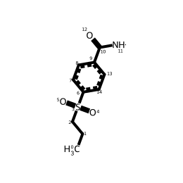 CCCS(=O)(=O)c1ccc(C([NH])=O)cc1